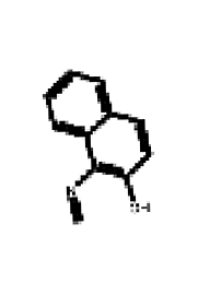 C=Nc1c(O)ccc2ccccc12